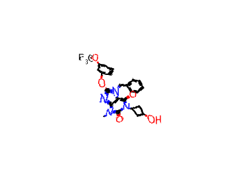 Cn1c(=O)n(C2CC(O)C2)c(=O)c2c1nc(Oc1cccc(OC(F)(F)F)c1)n2Cc1ccccc1